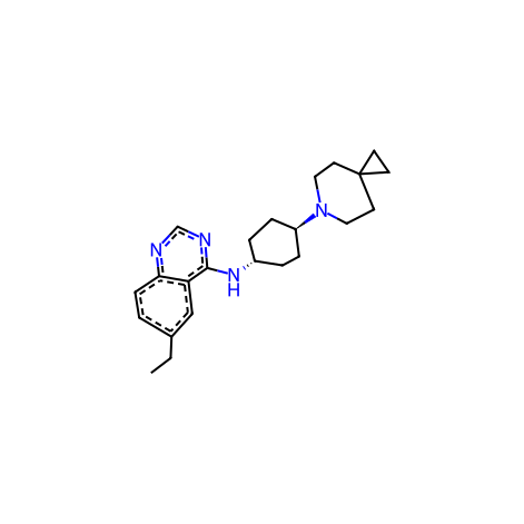 CCc1ccc2ncnc(N[C@H]3CC[C@H](N4CCC5(CC4)CC5)CC3)c2c1